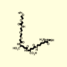 CCCOCCOCC(=O)NCCOCCOCC(=O)N[C@@H](CCC(=O)N[C@@H](CCC(=O)NCCCC[C@H](N)C(=O)NS)C(=O)O)C(=O)O